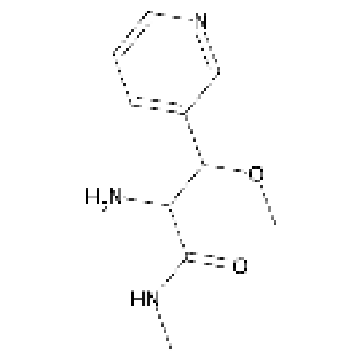 CNC(=O)C(N)C(OC)c1cccnc1